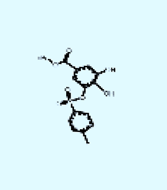 CCCOC(=O)c1cc(O)c(O)c(OS(=O)(=O)c2ccc(C)cc2)c1